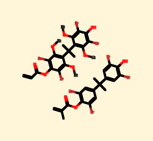 C=C(C)C(=O)Oc1c(Br)cc(C(C)(C)c2cc(Br)c(O)c(Br)c2)cc1Br.C=CC(=O)Oc1c(Br)c(OCC)c(C(C)(C)c2c(OCC)c(Br)c(O)c(Br)c2OCC)c(OCC)c1Br